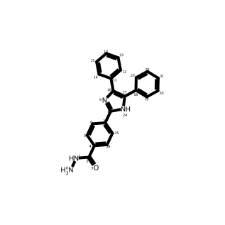 NNC(=O)c1ccc(-c2nc(-c3ccccc3)c(-c3ccccc3)[nH]2)cc1